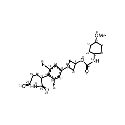 COC1CCC(NC(=O)OC2CN(c3cc(F)c(C4CCC(=O)NC4=O)c(F)c3)C2)CC1